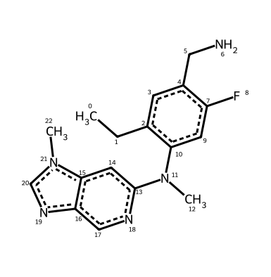 CCc1cc(CN)c(F)cc1N(C)c1cc2c(cn1)ncn2C